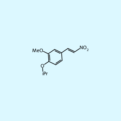 COc1cc(C=C[N+](=O)[O-])ccc1OC(C)C